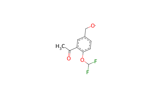 CC(=O)c1cc(C[O])ccc1OC(F)F